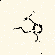 [13CH3][13c]1[15n]cc([N+](=O)[O-])[15n]1CCO